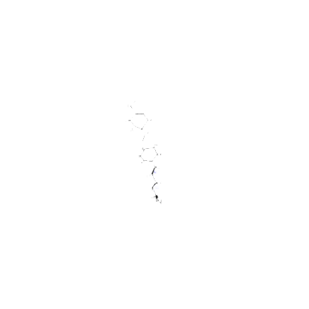 CC[C@H]1CC[C@H](CC[C@H]2CC[C@H](/C=C/C=C/C#N)CC2)CC1